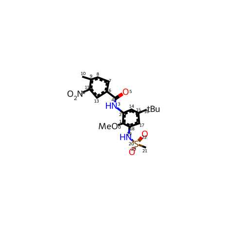 COc1c(NC(=O)c2ccc(C)c([N+](=O)[O-])c2)cc(C(C)(C)C)cc1NS(C)(=O)=O